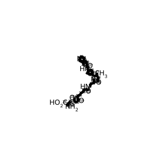 CC1CC(=O)N(CCCNC(=O)CCCCCN2C(=O)CC(SC[C@H](N)C(=O)O)C2=O)N=C1c1ccc(NC(=O)N2Cc3ccncc3C2)cc1